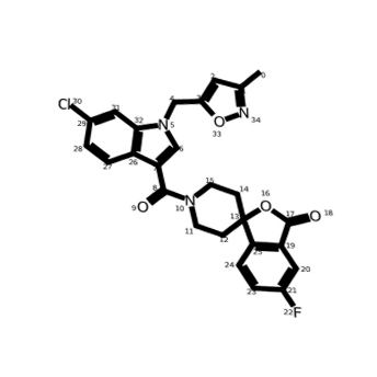 Cc1cc(Cn2cc(C(=O)N3CCC4(CC3)OC(=O)c3cc(F)ccc34)c3ccc(Cl)cc32)on1